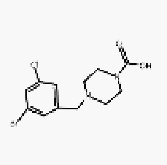 O=C(O)N1CCN(Cc2cc(Cl)cc(Br)c2)CC1